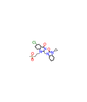 CS(=O)(=O)CCCn1c(Cn2c(=O)n(C3CC3)c3ccccc32)nc(=O)c2cc(Cl)ccc21